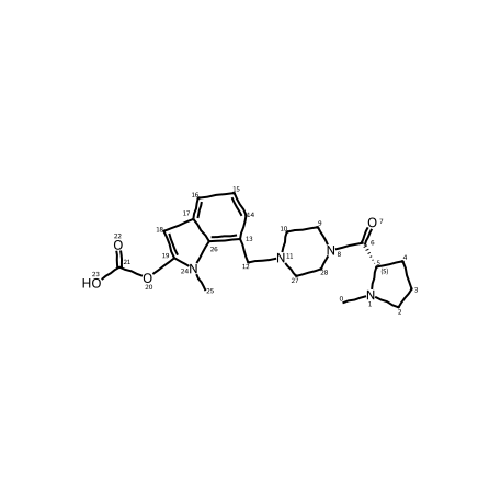 CN1CCC[C@H]1C(=O)N1CCN(Cc2cccc3cc(OC(=O)O)n(C)c23)CC1